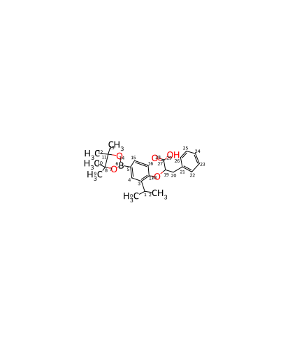 CC(C)c1cc(B2OC(C)(C)C(C)(C)O2)ccc1OC(Cc1ccccc1)C(=O)O